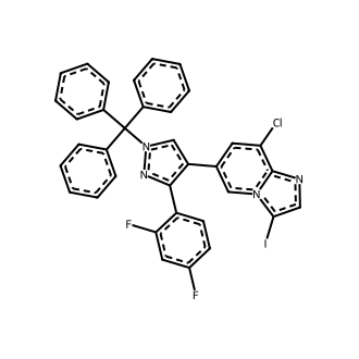 Fc1ccc(-c2nn(C(c3ccccc3)(c3ccccc3)c3ccccc3)cc2-c2cc(Cl)c3ncc(I)n3c2)c(F)c1